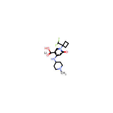 CN1CCC(Nc2cc(=O)n(C3(C(F)F)CCC3)cc2C(=O)O)CC1.[Li]